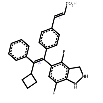 O=C(O)/C=C/c1ccc(/C(=C(\c2ccccc2)C2CCC2)c2cc(F)c3c(c2F)CNN3)cc1